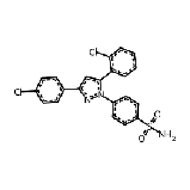 NS(=O)(=O)c1ccc(-n2nc(-c3ccc(Cl)cc3)cc2-c2ccccc2Cl)cc1